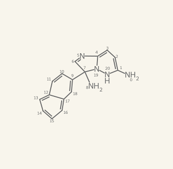 NC1=CC=C2N=CC(N)(c3ccc4ccccc4c3)N2N1